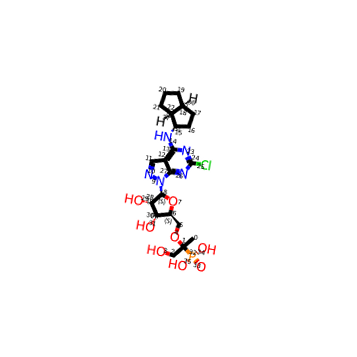 CC(CO)(OC[C@@H]1O[C@H](n2ncc3c(N[C@H]4CC[C@@H]5CCC[C@@H]54)nc(Cl)nc32)[C@@H](O)[C@H]1O)P(=O)(O)O